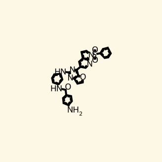 Nc1ccc(C(=O)Nc2cccc(Nc3nc(-c4cnc5c(ccn5S(=O)(=O)c5ccccc5)c4)c4occc4n3)c2)cc1